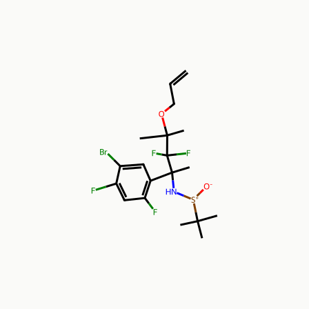 C=CCOC(C)(C)C(F)(F)C(C)(N[S+]([O-])C(C)(C)C)c1cc(Br)c(F)cc1F